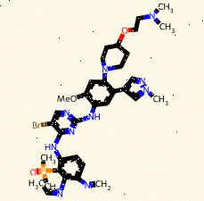 C=Nc1ccc(Nc2nc(Nc3cc(-c4cnn(C)c4)c(N4CCC(OCCN(C)C)CC4)cc3OC)ncc2Br)c(P(C)(C)=O)c1/N=C\C